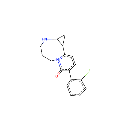 O=c1c(-c2ccccc2F)ccc2n1CCCNC1CC21